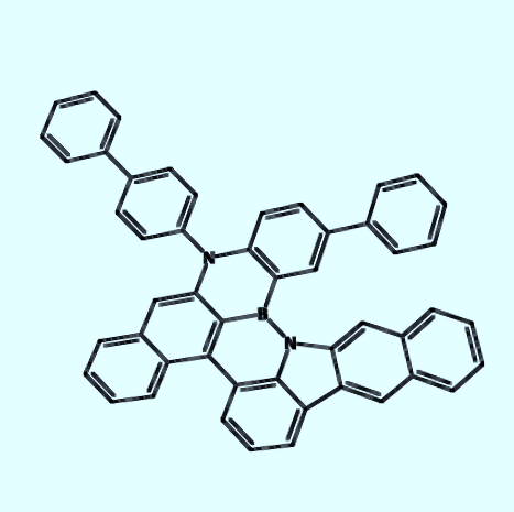 c1ccc(-c2ccc(N3c4ccc(-c5ccccc5)cc4B4c5c3cc3ccccc3c5-c3cccc5c6cc7ccccc7cc6n4c35)cc2)cc1